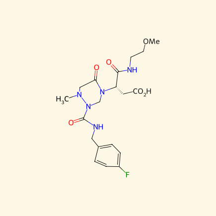 COCCNC(=O)[C@H](CC(=O)O)N1CN(C(=O)NCc2ccc(F)cc2)N(C)CC1=O